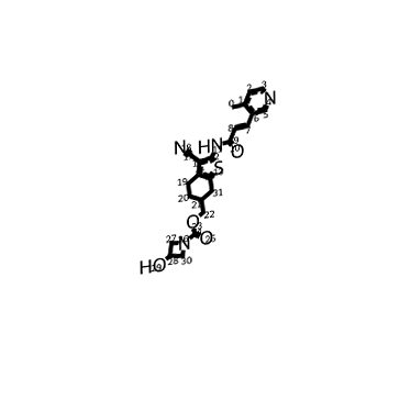 Cc1ccncc1C=CC(=O)Nc1sc2c(c1C#N)CCC(COC(=O)N1CC(O)C1)C2